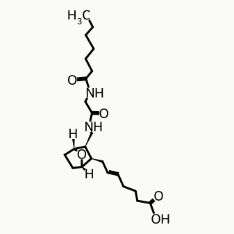 CCCCCCC(=O)NCC(=O)NC[C@H]1[C@@H](CC=CCCCC(=O)O)[C@@H]2CC[C@H]1O2